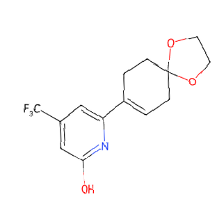 Oc1cc(C(F)(F)F)cc(C2=CCC3(CC2)OCCO3)n1